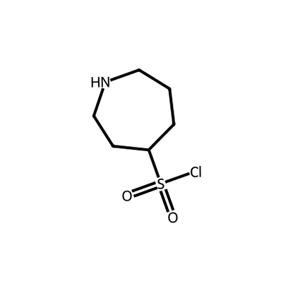 O=S(=O)(Cl)C1CCCNCC1